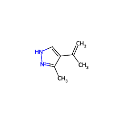 C=C(C)c1c[nH]nc1C